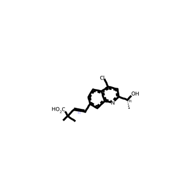 C[C@@H](O)c1cc(Cl)c2ccc(/C=C/C(C)(C)C(=O)O)cc2n1